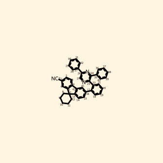 N#Cc1ccc2c(c1)C1(CCCCC1)c1ccc(-c3ccccc3-c3ncc(-c4ccccc4)nc3-c3ccccc3)cc1-2